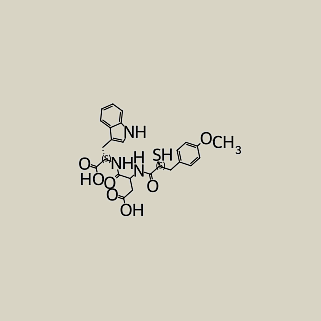 COc1ccc(C[C@H](S)C(=O)NC(CC(=O)O)C(=O)N[C@@H](Cc2c[nH]c3ccccc23)C(=O)O)cc1